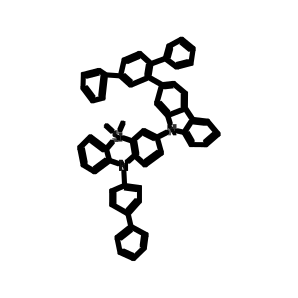 C[Si]1(C)c2ccccc2N(c2ccc(-c3ccccc3)cc2)c2ccc(-n3c4ccccc4c4ccc(-c5cc(-c6ccccc6)ccc5-c5ccccc5)cc43)cc21